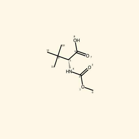 COC(=O)N[C@@H](C(=O)O)C(C)(C)C